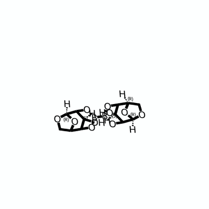 O[C@@H]1C2OB(B3OC4C5CO[C@H](O5)C(O3)[C@H]4O)OC1[C@H]1CO[C@@H]2O1